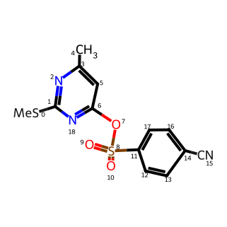 CSc1nc(C)cc(OS(=O)(=O)c2ccc(C#N)cc2)n1